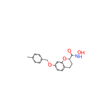 Cc1ccc(COc2ccc3c(c2)OC(C(=O)NO)CC3)cc1